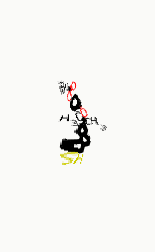 CCC(C)C(=O)OC1CCC(OC(C)(C)c2ccc3c(ccc4cc(S)ccc43)c2)CC1